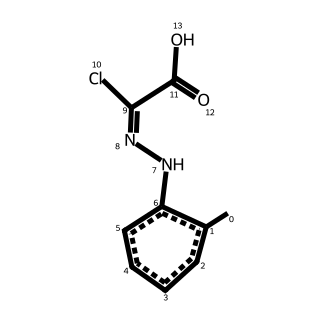 Cc1ccccc1N/N=C(/Cl)C(=O)O